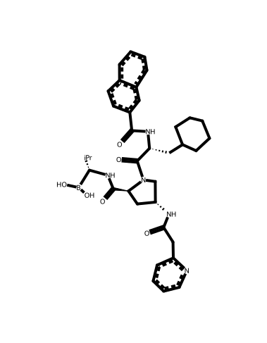 CC(C)[C@H](NC(=O)[C@@H]1C[C@@H](NC(=O)Cc2ccccn2)CN1C(=O)[C@@H](CC1CCCCC1)NC(=O)c1ccc2ccccc2c1)B(O)O